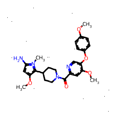 COc1ccc(Oc2cnc(C(=O)N3CCC(c4c(OC)cc(N)n4C)CC3)cc2OC)cc1